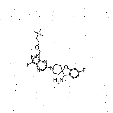 C[Si](C)(C)CCOCn1nc(I)c2ncc(N3CCC4(CC3)Oc3cc(F)ccc3[C@H]4N)nc21